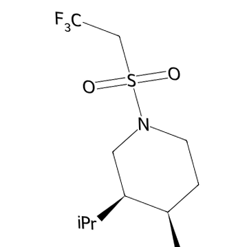 CC(C)[C@H]1CN(S(=O)(=O)CC(F)(F)F)CC[C@H]1C